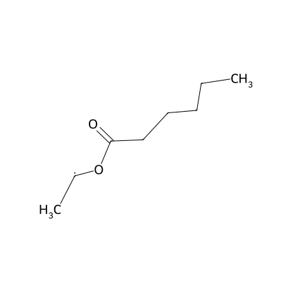 C[CH]OC(=O)CCCCC